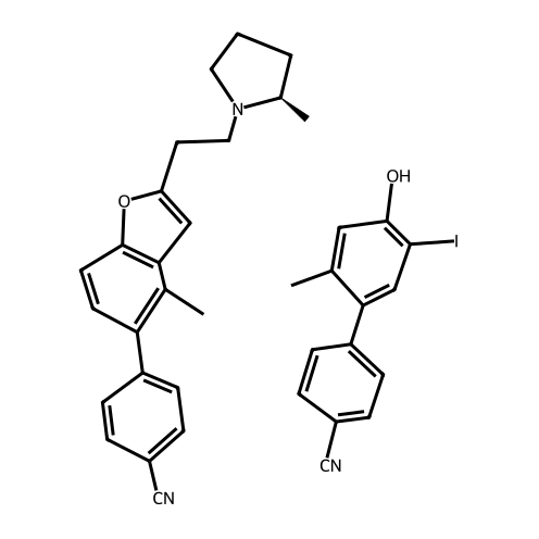 Cc1c(-c2ccc(C#N)cc2)ccc2oc(CCN3CCC[C@H]3C)cc12.Cc1cc(O)c(I)cc1-c1ccc(C#N)cc1